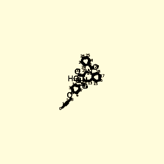 CC#CCOc1ccc(S(=O)(=O)N2Cc3ccccc3N(C(=O)c3ccccc3)CC2C(=O)O)cc1